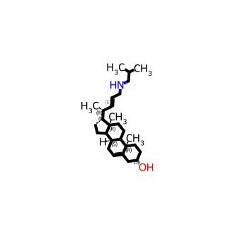 CC(C)CNC/C=C/[C@@H](C)[C@H]1CCC2[C@@H]3CC=C4C[C@@H](O)CC[C@]4(C)C3CC[C@@]21C